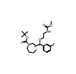 COC(=O)NCCO[C@@H](c1cccc(F)c1)[C@@H]1CCCCN(C(=O)OC(C)(C)C)C1